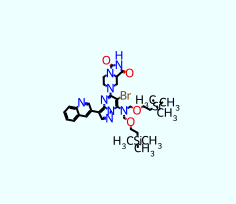 C[Si](C)(C)CCOCN(COCC[Si](C)(C)C)c1c(Br)c(N2CCN3C(=O)NC(=O)C3C2)nc2c(-c3cnc4ccccc4c3)cnn12